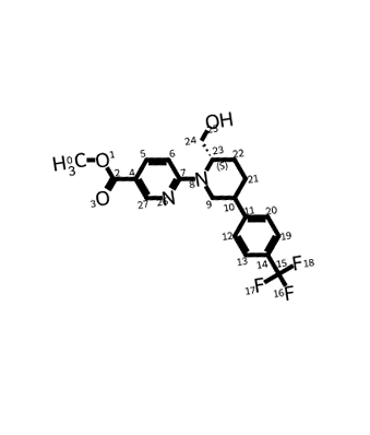 COC(=O)c1ccc(N2CC(c3ccc(C(F)(F)F)cc3)CC[C@H]2CO)nc1